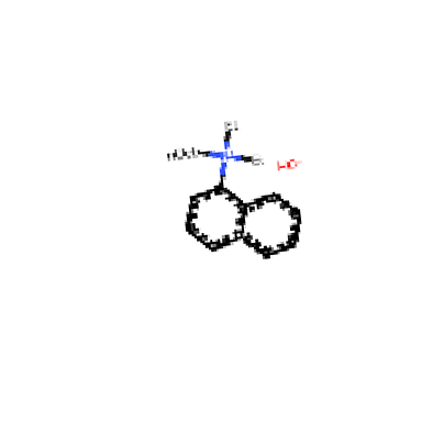 CCCCCCCC[N+](CC)(CC)c1cccc2ccccc12.[OH-]